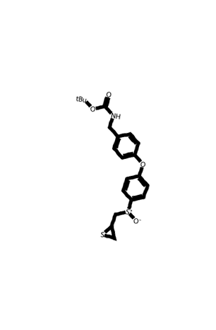 CC(C)(C)OC(=O)NCc1ccc(Oc2ccc([S+]([O-])CC3CS3)cc2)cc1